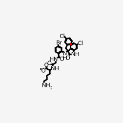 COC(=O)C(CCCCN)NC(=O)CNC(=O)c1ccc(Br)cc1NC1(Cc2cccc(Cl)c2)C(=O)Nc2cc(Cl)ccc21